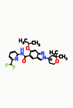 CC(C)Oc1cc2nn([C@@H]3CCOC(C)(C)C3)cc2cc1C(=O)Nc1cccc(C(F)F)n1